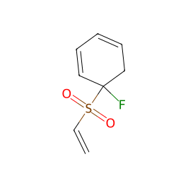 C=CS(=O)(=O)C1(F)C=CC=CC1